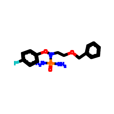 NP(N)(=O)N(CCOCc1ccccc1)Oc1ccc(F)cc1